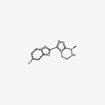 C[C@H]1NCCn2c(-c3nc4ccc(F)cc4s3)nnc21